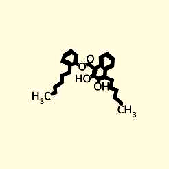 CCCCCCc1ccccc1OC(=O)c1c(O)c(O)c(CCCCCC)c2ccccc12